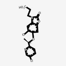 C[C@@H](Oc1cc2oc(=O)n(CCC(=O)O)c2cc1Cl)c1ccc(Cl)cn1